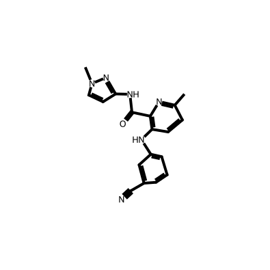 Cc1ccc(Nc2cccc(C#N)c2)c(C(=O)Nc2ccn(C)n2)n1